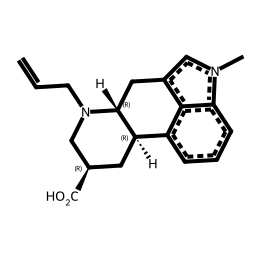 C=CCN1C[C@H](C(=O)O)C[C@@H]2c3cccc4c3c(cn4C)C[C@H]21